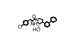 Cl.N[C@H](Cc1ccc(Cl)cc1)C(=O)N1CCC(c2cccc(-c3ccccc3)c2)CC1